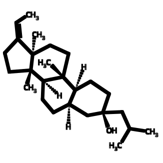 C/C=C1/CC[C@@]2(C)[C@@H]3CC[C@@H]4C[C@@](O)(CC(C)C)CC[C@@H]4[C@@]3(C)CC[C@]12C